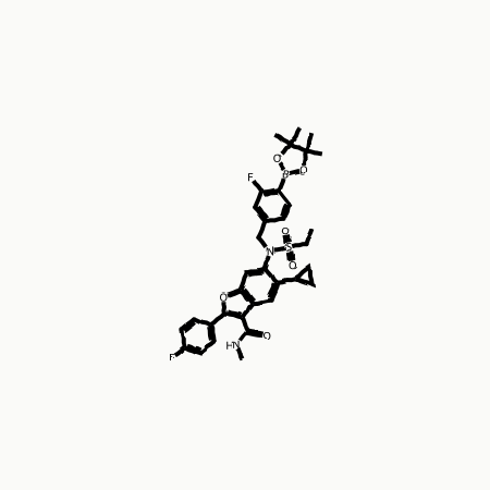 CCS(=O)(=O)N(Cc1ccc(B2OC(C)(C)C(C)(C)O2)c(F)c1)c1cc2oc(-c3ccc(F)cc3)c(C(=O)NC)c2cc1C1CC1